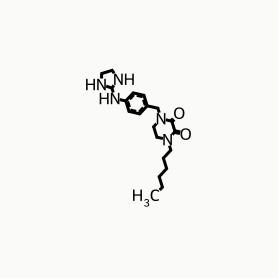 CCCCCCN1CCN(Cc2ccc(NC3NCCN3)cc2)C(=O)C1=O